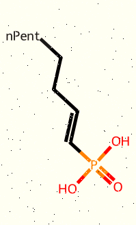 CCCCCCCC=CP(=O)(O)O